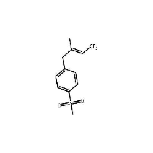 CC(=CC(F)(F)F)Cc1ccc(S(C)(=O)=O)cc1